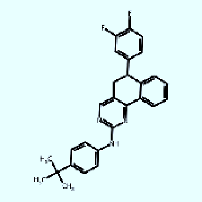 CC(C)(C)c1ccc(Nc2ncc3c(n2)-c2ccccc2C(c2ccc(F)c(F)c2)C3)cc1